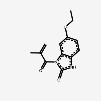 C=C(C)C(=O)n1c(=O)[nH]c2ccc(OCC)cc21